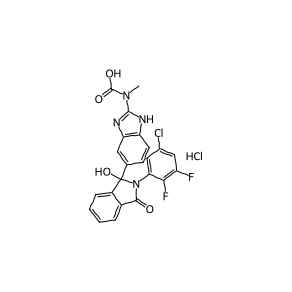 CN(C(=O)O)c1nc2cc(C3(O)c4ccccc4C(=O)N3c3cc(Cl)cc(F)c3F)ccc2[nH]1.Cl